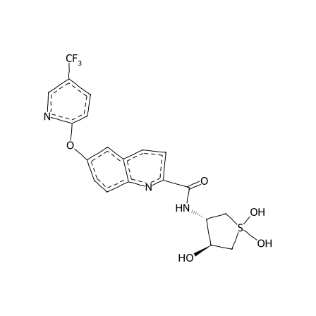 O=C(N[C@@H]1CS(O)(O)C[C@H]1O)c1ccc2cc(Oc3ccc(C(F)(F)F)cn3)ccc2n1